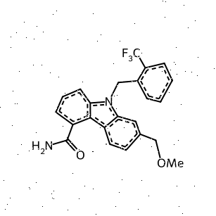 COCc1c[c]c2c3c(C(N)=O)cccc3n(Cc3ccccc3C(F)(F)F)c2c1